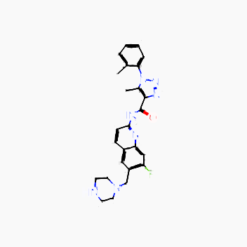 Cc1ccccc1-n1nnc(C(=O)Nc2ccc3cc(CN4CCNCC4)c(F)cc3n2)c1C